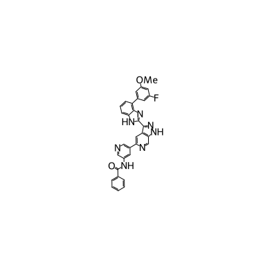 COc1cc(F)cc(-c2cccc3[nH]c(-c4n[nH]c5cnc(-c6cncc(NC(=O)c7ccccc7)c6)cc45)nc23)c1